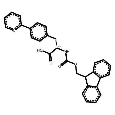 O=C(N[C@@H](Cc1ccc(-c2ccccn2)cc1)C(=O)O)OCC1c2ccccc2-c2ccccc21